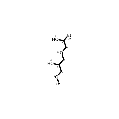 CCOCC(O)COCC(O)CC